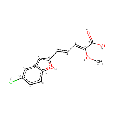 CO/C(=C\C=C\c1cc2cc(Cl)ccc2o1)C(=O)O